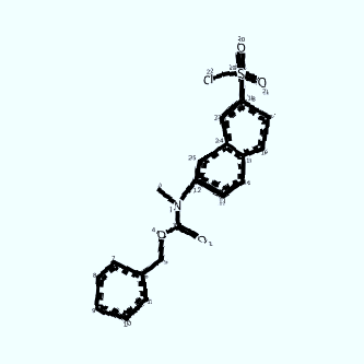 CN(C(=O)OCc1ccccc1)c1ccc2ccc(S(=O)(=O)Cl)cc2c1